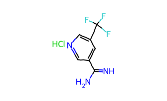 Cl.N=C(N)c1cncc(C(F)(F)F)c1